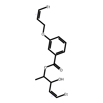 CC/C=C\COc1cccc(C(=O)OC(C)C(O)/C=C\CC)c1